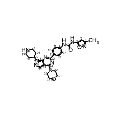 Cc1cc(NC(=O)Nc2ccc(-c3nc(N4CCOCC4)c4cnn(C5CCNCC5)c4n3)cc2)on1